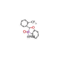 CCCCCCP(=O)(C(=O)c1ccccc1C(F)(F)F)c1ccccc1